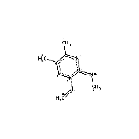 C=Cn1cc(C)c(C)n/c1=N/C